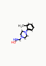 Cc1ccccc1N1CCN(CNO)CC1